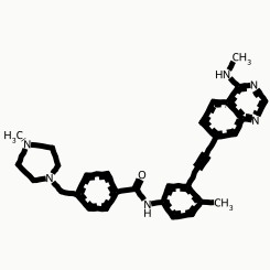 CNc1ncnc2cc(C#Cc3cc(NC(=O)c4ccc(CN5CCN(C)CC5)cc4)ccc3C)ccc12